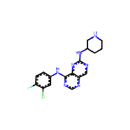 Fc1ccc(Nc2ncnc3cnc(NC4CCCNC4)nc23)cc1Cl